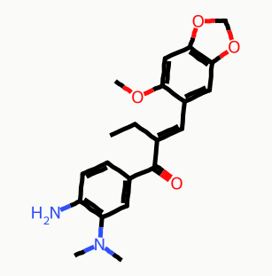 CC/C(=C\c1cc2c(cc1OC)OCO2)C(=O)c1ccc(N)c(N(C)C)c1